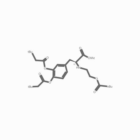 CCCCC(=O)OCCN[C@@H](Cc1ccc(OC(=O)CC(C)(C)C)c(OC(=O)CC(C)(C)C)c1)C(=O)OC